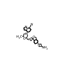 CC1CN(c2ccc(C#N)n3nccc23)CC(CN2CC3(C2)OCc2cc(N4CC(N)C4)ccc23)O1